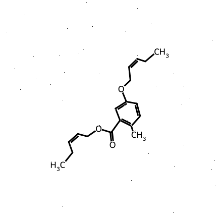 CC/C=C\COC(=O)c1cc(OC/C=C\CC)ccc1C